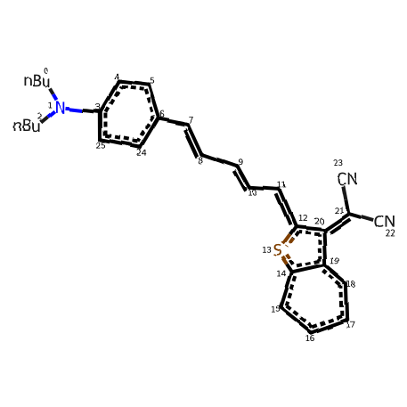 CCCCN(CCCC)c1ccc(/C=C/C=C/C=c2\sc3ccccc3c2=C(C#N)C#N)cc1